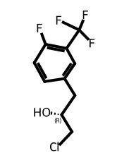 O[C@@H](CCl)Cc1ccc(F)c(C(F)(F)F)c1